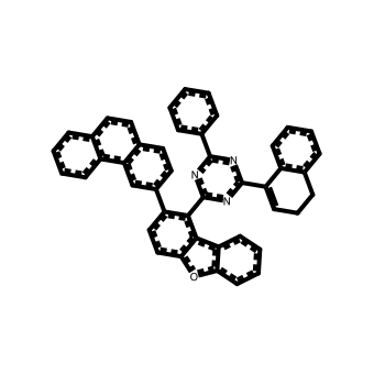 C1=C(c2nc(-c3ccccc3)nc(-c3c(-c4ccc5ccc6ccccc6c5c4)ccc4oc5ccccc5c34)n2)c2ccccc2CC1